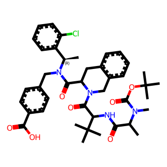 CC(C(=O)NC(C(=O)N1Cc2ccccc2CC1C(=O)N(Cc1ccc(C(=O)O)cc1)[C@H](C)c1ccccc1Cl)C(C)(C)C)N(C)C(=O)OC(C)(C)C